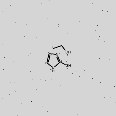 CCO.Oc1ncc[nH]1